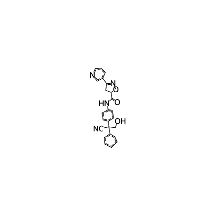 N#CC(CO)(c1ccccc1)c1ccc(NC(=O)C2CC(c3cccnc3)=NO2)cc1